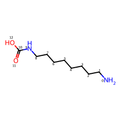 NCCCCCCCCNC(=O)O